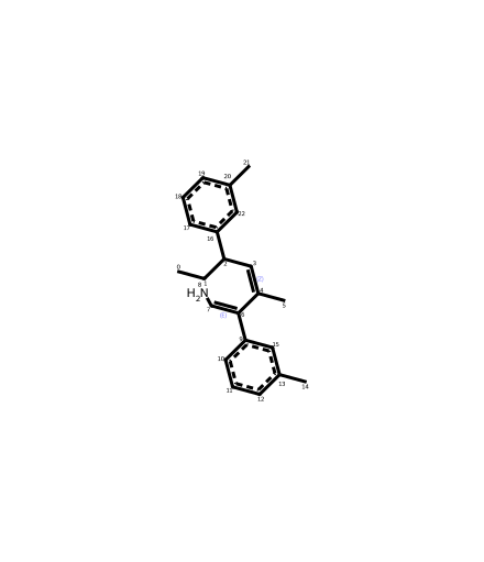 CCC(/C=C(C)\C(=C/N)c1cccc(C)c1)c1cccc(C)c1